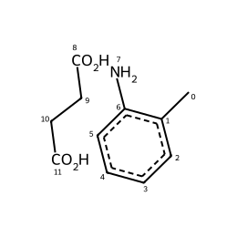 Cc1ccccc1N.O=C(O)CCC(=O)O